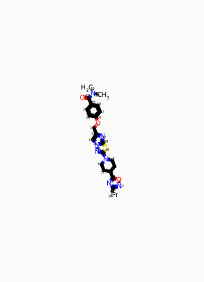 CC(C)c1noc(C2CCN(c3nn4cc(COc5ccc(C(=O)N(C)C)cc5)nc4s3)CC2)n1